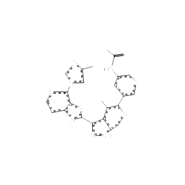 CCCCC(=O)Nc1cncc(-c2ncc3[nH]nc(-c4nc5c(-n6cnc(C)c6)nccc5[nH]4)c3c2F)c1